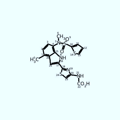 Cc1ccc(N(C)S(=O)(=O)c2cccs2)c2[nH]c(-c3nc(NC(=O)O)cs3)cc12